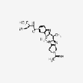 CC(=N)N1CCc2[nH]c(C(C)c3nc4ccc(C(=O)NC(CC(C)C)C(=O)O)cc4n3C)nc2C1